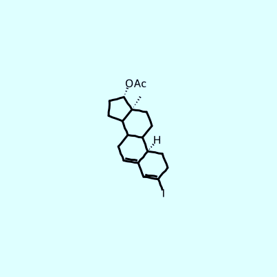 CC(=O)O[C@H]1CCC2C3CC=C4C=C(I)CC[C@@H]4C3CC[C@@]21C